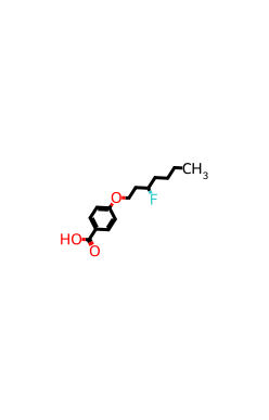 CCCCC(F)CCOc1ccc(C(=O)O)cc1